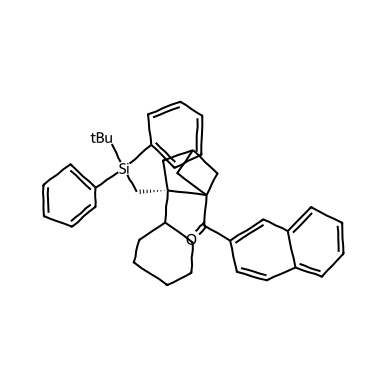 CC(C)(C)[Si](C[C@]1(C2CCCCC2)CC2CC1(C(=O)c1ccc3ccccc3c1)C2)(c1ccccc1)c1ccccc1